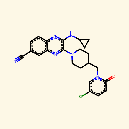 N#Cc1ccc2nc(NC3CC3)c(N3CCC(Cn4cc(Cl)ccc4=O)CC3)nc2c1